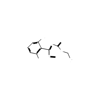 C=N/C(=N\C(=C)NCO)c1c(F)cccc1F